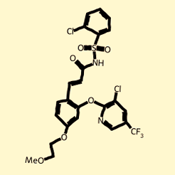 COCCOc1ccc(C=CC(=O)NS(=O)(=O)c2ccccc2Cl)c(Oc2ncc(C(F)(F)F)cc2Cl)c1